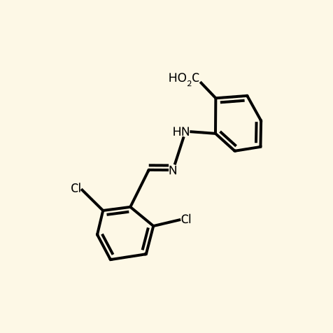 O=C(O)c1ccccc1N/N=C/c1c(Cl)cccc1Cl